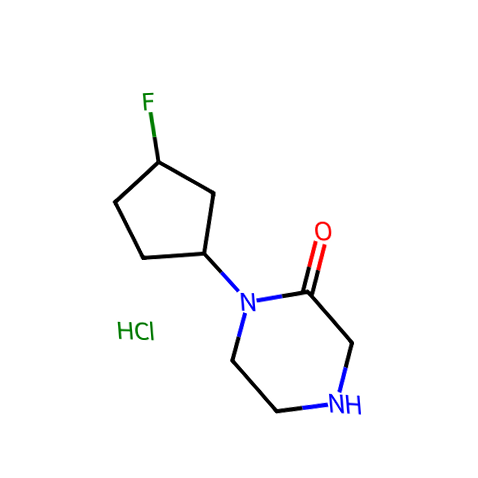 Cl.O=C1CNCCN1C1CCC(F)C1